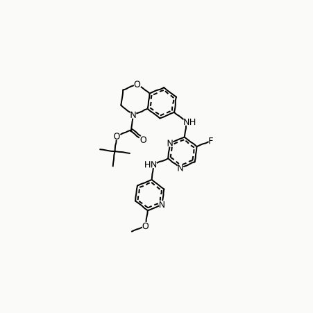 COc1ccc(Nc2ncc(F)c(Nc3ccc4c(c3)N(C(=O)OC(C)(C)C)CCO4)n2)cn1